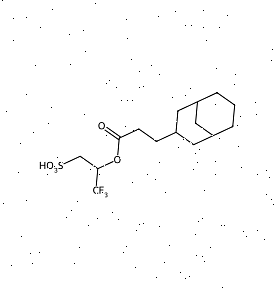 O=C(CCC1CC2CCCC(C2)C1)OC(CS(=O)(=O)O)C(F)(F)F